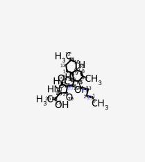 C/C=C/C=C/[C@@H]1C(C)=C[C@@H]2C[C@H](C)CC[C@H]2[C@]1(C)/C(O)=C1\C(=O)N[C@@H]([C@H](C)O)C1=O